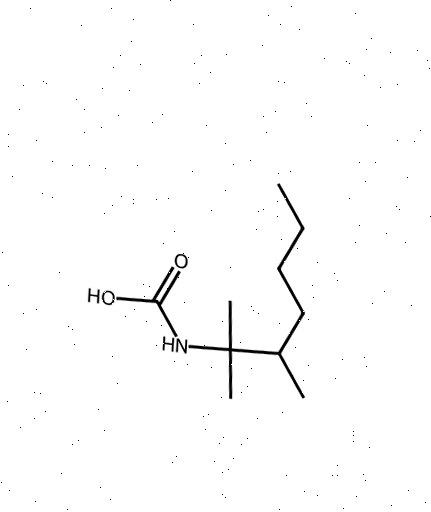 CCCCC(C)C(C)(C)NC(=O)O